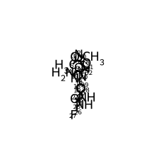 Cc1noc(C)c1S(=O)(=O)C1(c2cc(N)nc(-c3ccc(NC(=O)NCCF)cc3)n2)CC1